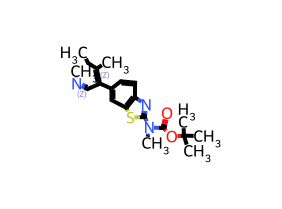 CC/C(C)=C(\C=N/C)c1ccc2nc(N(C)C(=O)OC(C)(C)C)sc2c1